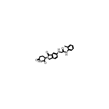 O=C1CCC(N2Cc3ccc(NCC(=O)Nc4ccccc4I)cc3C2=O)C(=O)N1